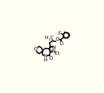 CCn1nc(C[C@@H](C)COC(=O)c2ccccc2F)c2c1C(=O)NCC1(CCOCC1)C2